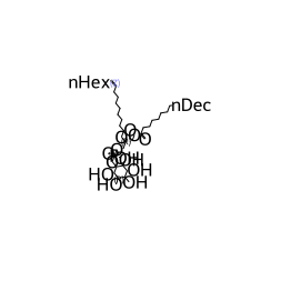 CCCCCC/C=C\CCCCCCCC(=O)O[C@H](COC(=O)CCCCCCCCCCCCCCCCC)COP(=O)(O)OC1C(O)C(O)C(O)[C@@H](O)C1O